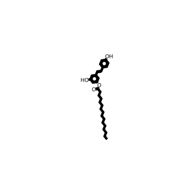 CCCCCCCCCCCCCCCC(=O)Oc1cc(O)cc(C=Cc2ccc(O)cc2)c1